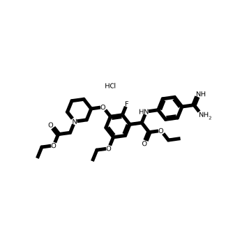 CCOC(=O)CN1CCCC(Oc2cc(OCC)cc(C(Nc3ccc(C(=N)N)cc3)C(=O)OCC)c2F)C1.Cl